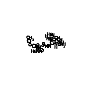 C/C(=N/O)C(C)(C)NCCC(CCNC(=O)CCN(C1(C(=O)NO)CCCC1)S(=O)(=O)c1ccc(Oc2ccc(C)cc2)cc1)CCNC(C)(C)/C(C)=N\O